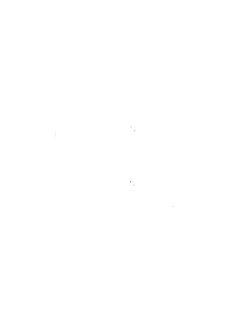 CC(=O)C1=C(C)Nc2c(Br)cccc2N=C1